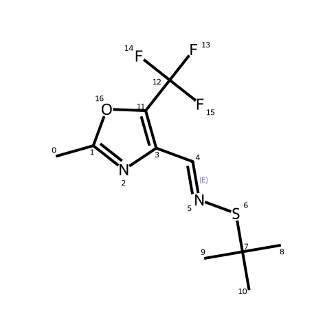 Cc1nc(/C=N/SC(C)(C)C)c(C(F)(F)F)o1